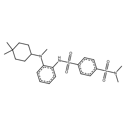 CN(c1ccccc1NS(=O)(=O)c1ccc(S(=O)(=O)N(C)C)cc1)C1CCC(C)(C)CC1